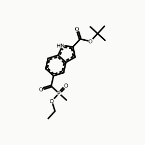 CCOP(C)(=O)C(=O)c1ccc2[nH]c(C(=O)OC(C)(C)C)cc2c1